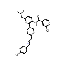 O=C(Nc1ccc(CC(F)F)nc1C1CCN(C/C=C/c2ccc(Cl)cc2)CC1)c1ccnc(Cl)c1